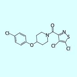 O=C(c1nsc(Cl)c1Cl)N1CCC(Oc2ccc(Cl)cc2)CC1